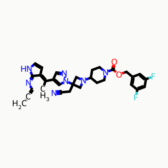 C=C=C/N=C1/NC=C/C1=C(/C)c1cnn(C2(CC#N)CN(C3CCN(C(=O)OCc4cc(F)cc(F)c4)CC3)C2)c1